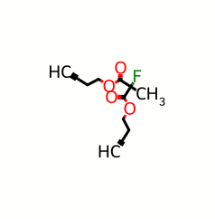 C#CCCOC(=O)C(C)(F)C(=O)OCCC#C